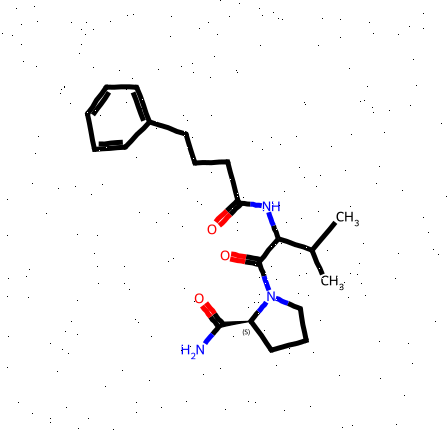 CC(C)C(NC(=O)CCCc1ccccc1)C(=O)N1CCC[C@H]1C(N)=O